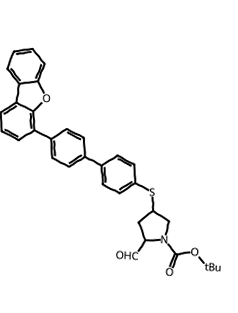 CC(C)(C)OC(=O)N1CC(Sc2ccc(-c3ccc(-c4cccc5c4oc4ccccc45)cc3)cc2)CC1C=O